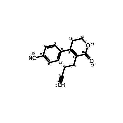 C#CCCC1=C(c2ccc(C#N)cc2)CCOC1=O